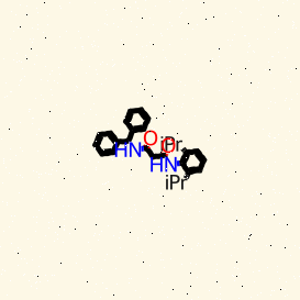 CC(C)c1cccc(C(C)C)c1NC(=O)CC(=O)NC(c1ccccc1)c1ccccc1